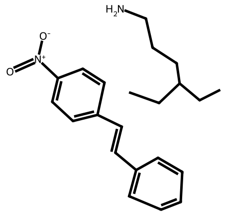 CCC(CC)CCCN.O=[N+]([O-])c1ccc(C=Cc2ccccc2)cc1